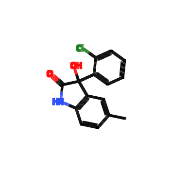 Cc1ccc2c(c1)C(O)(c1ccccc1Cl)C(=O)N2